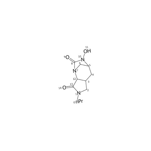 CCCN1CC2CC3CN(C(=O)N3O)C2C1=O